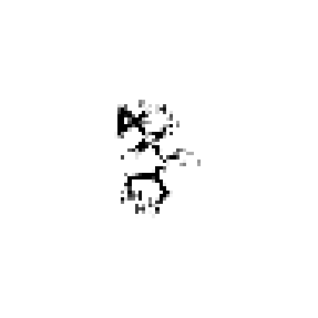 CN(C(CO)CO)S(=O)(=O)C1(C)CC1